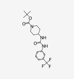 CC(C)(C)OC(=O)N1CCC(NC(=O)Nc2cccc(C(F)(F)F)c2)CC1